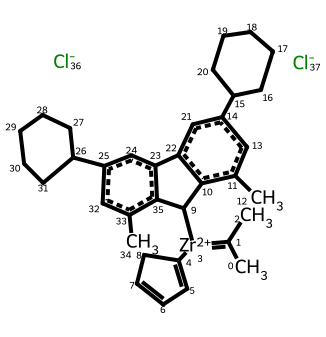 C[C](C)=[Zr+2]([C]1=CC=CC1)[CH]1c2c(C)cc(C3CCCCC3)cc2-c2cc(C3CCCCC3)cc(C)c21.[Cl-].[Cl-]